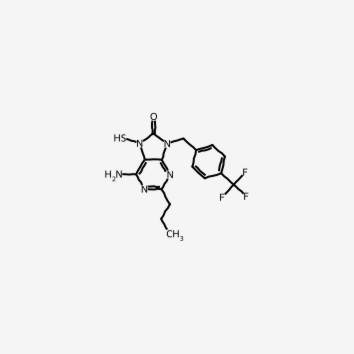 CCCc1nc(N)c2c(n1)n(Cc1ccc(C(F)(F)F)cc1)c(=O)n2S